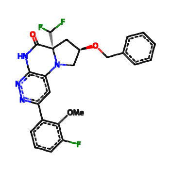 COc1c(F)cccc1-c1cc2c(nn1)NC(=O)[C@@]1(C(F)F)C[C@@H](OCc3ccccc3)CN21